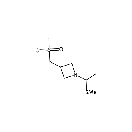 CSC(C)N1CC(CS(C)(=O)=O)C1